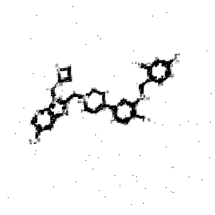 N#Cc1cnc2c(c1)nc(CN1CC=C(c3ccc(F)c(OCc4ccc(Cl)cc4F)c3)CC1)n2C[C@@H]1CCO1